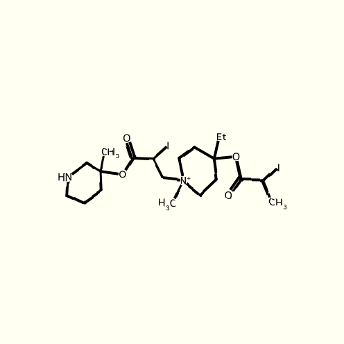 CCC1(OC(=O)C(C)I)CC[N+](C)(CC(I)C(=O)OC2(C)CCCNC2)CC1